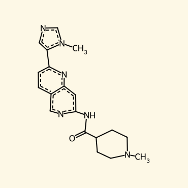 CN1CCC(C(=O)Nc2cc3nc(-c4cncn4C)ccc3cn2)CC1